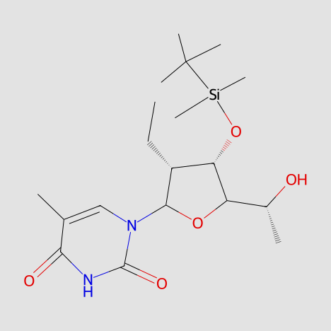 CC[C@H]1C(n2cc(C)c(=O)[nH]c2=O)OC([C@@H](C)O)[C@H]1O[Si](C)(C)C(C)(C)C